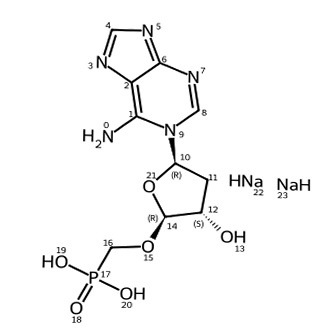 Nc1c2ncnc-2ncn1[C@H]1C[C@H](O)[C@@H](OCP(=O)(O)O)O1.[NaH].[NaH]